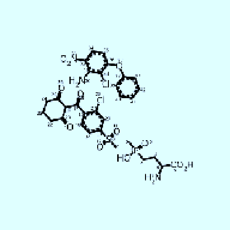 CP(=O)(O)CCC(N)C(=O)O.CS(=O)(=O)c1ccc(C(=O)C2C(=O)CCCC2=O)c(Cl)c1.Nc1c([N+](=O)[O-])ccc(Oc2ccccc2)c1Cl